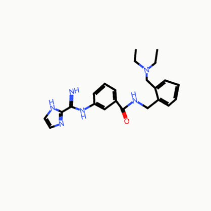 CCN(CC)Cc1ccccc1CNC(=O)c1cccc(NC(=N)c2ncc[nH]2)c1